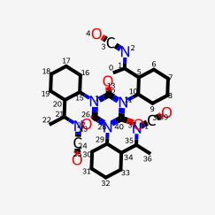 CC(N=C=O)C1CCCCC1n1c(=O)n(C2CCCCC2C(C)N=C=O)c(=O)n(C2CCCCC2C(C)N=C=O)c1=O